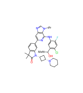 CNC(O)c1cc(Nc2nc(-c3ccc4c(c3)N([C@H]3C[C@@H](N5CCCCC5)C3)C(=O)C4(C)C)cc3ncn(C(C)C)c23)c(F)cc1Cl